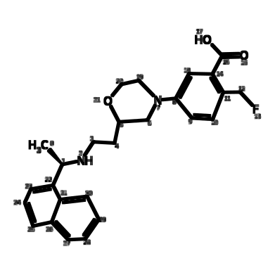 C[C@@H](NCCC1CN(c2ccc(CF)c(C(=O)O)c2)CCO1)c1cccc2ccccc12